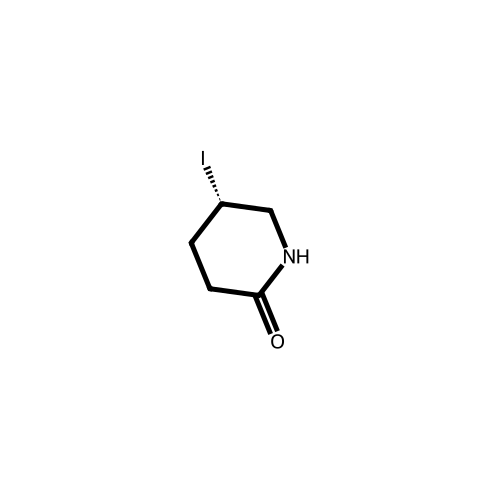 O=C1CC[C@H](I)CN1